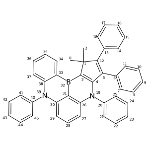 CC1(C)C2=C(C(c3ccccc3)=C1c1ccccc1)N(c1ccccc1)c1cccc3c1B2c1ccccc1N3c1ccccc1